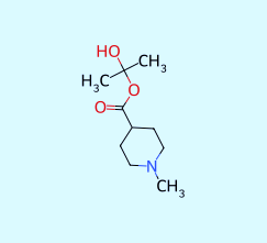 CN1CCC(C(=O)OC(C)(C)O)CC1